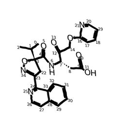 CC(C)[C@@]1(C(=O)N[C@@H](CC(=O)O)C(=O)COc2ccccn2)CC(c2nccc3ccccc23)=NO1